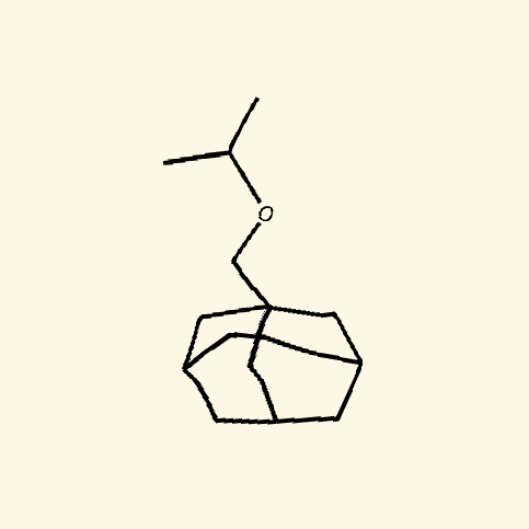 CC(C)OCC12CC3CC(CC(C3)C1)C2